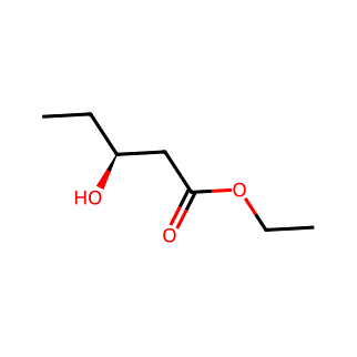 CCOC(=O)C[C@@H](O)CC